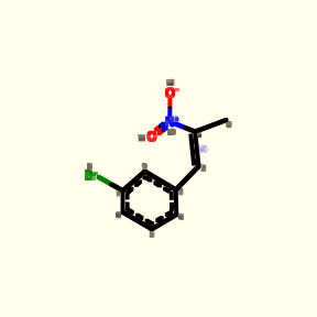 C/C(=C/c1cccc(Br)c1)[N+](=O)[O-]